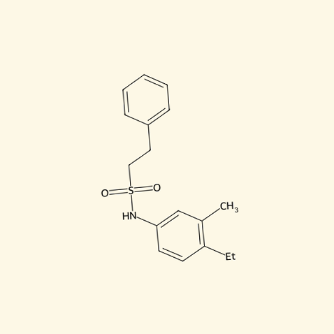 CCc1ccc(NS(=O)(=O)CCc2ccccc2)cc1C